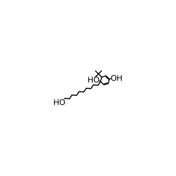 CC(C)(C)C1C=C(O)C=CC1(O)CCCCCCCCCCO